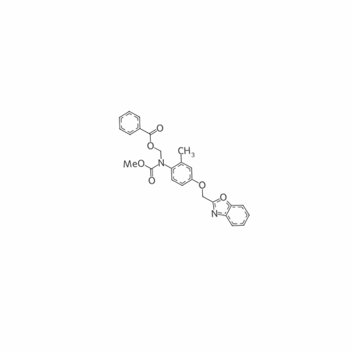 COC(=O)N(COC(=O)c1ccccc1)c1ccc(OCc2nc3ccccc3o2)cc1C